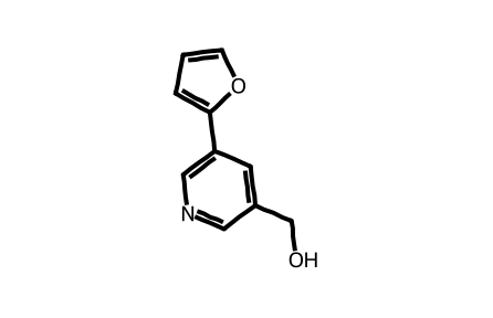 OCc1cncc(-c2ccco2)c1